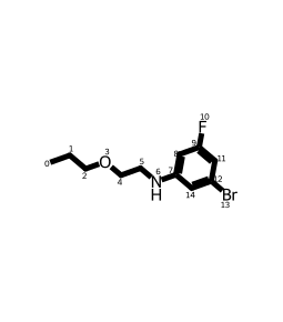 CCCOCCNc1cc(F)cc(Br)c1